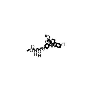 CCOC(=O)NCC(O)COc1ccc(C2c3[nH]c4ccc(Cl)cc4c3CCN2C(=O)OCC)cc1